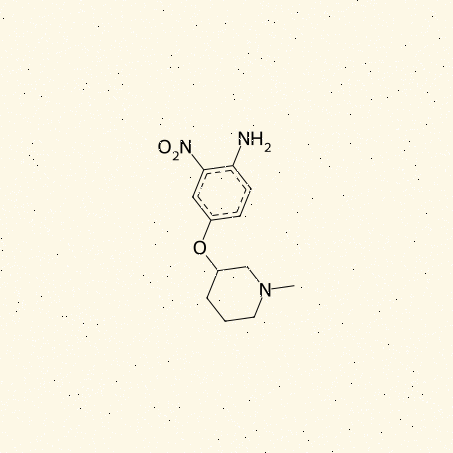 CN1CCCC(Oc2ccc(N)c([N+](=O)[O-])c2)C1